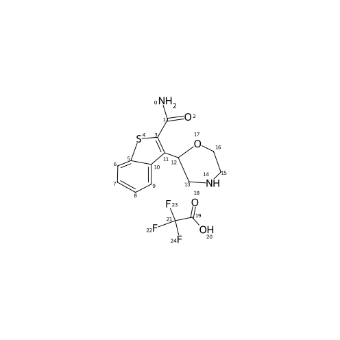 NC(=O)c1sc2ccccc2c1C1CNCCO1.O=C(O)C(F)(F)F